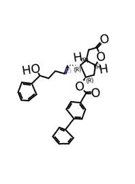 O=C1C[C@@H]2[C@@H](/C=C/CCC(O)c3ccccc3)[C@H](OC(=O)c3ccc(-c4ccccc4)cc3)C[C@@H]2O1